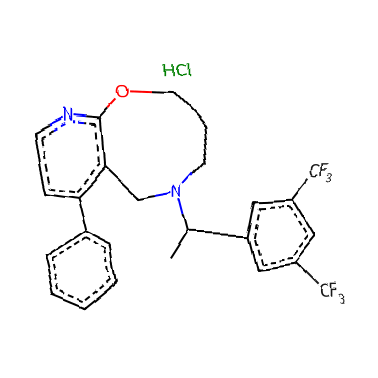 CC(c1cc(C(F)(F)F)cc(C(F)(F)F)c1)N1CCCOc2nccc(-c3ccccc3)c2C1.Cl